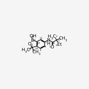 CCC(C)(C)C(=O)Nc1ccc2c(c1)B(O)OC2(C)C